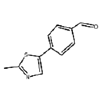 Cc1ncc(-c2ccc(C=O)cc2)s1